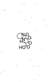 COc1c2n(cc(C(=O)O)c1=O)[C@H]1CCCCN(C1)C2=O